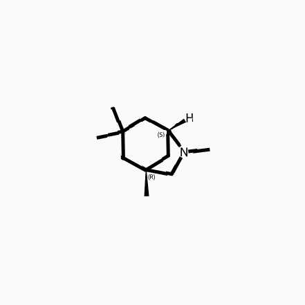 CN1C[C@@]2(C)C[C@@H]1CC(C)(C)C2